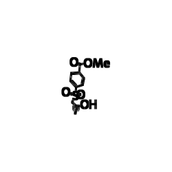 COC(=O)c1ccc(S(=O)(=O)C[C@H](C)O)cc1